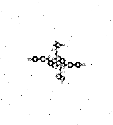 Cc1ccc(C(=O)N2CCC(c3ccc(C#N)cc3)CC2)cc1N(C(=O)NCCNc1nc(N)nc(C)c1C)N(C(=O)NCCNc1ncnc2[nH]cnc12)c1cc(C(=O)N2CCC(c3ccc(C#N)cc3)CC2)ccc1C